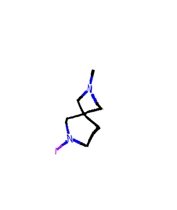 CN1CC2(CCN(I)C2)C1